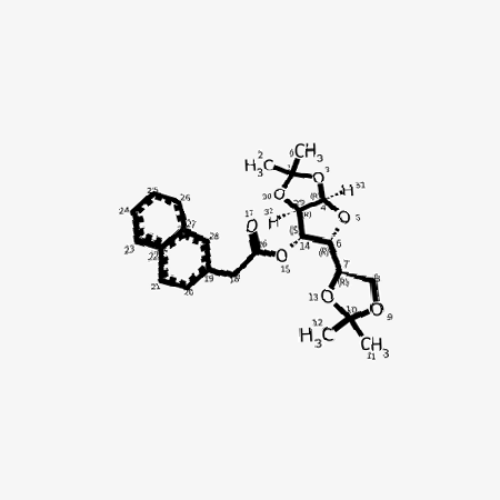 CC1(C)O[C@H]2O[C@H]([C@H]3COC(C)(C)O3)[C@H](OC(=O)Cc3ccc4ccccc4c3)[C@H]2O1